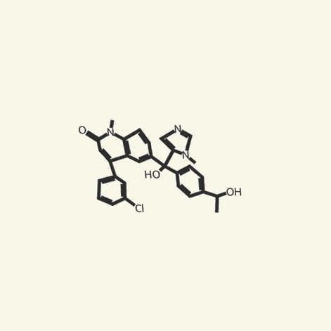 CC(O)c1ccc(C(O)(c2ccc3c(c2)c(-c2cccc(Cl)c2)cc(=O)n3C)c2cncn2C)cc1